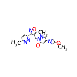 COC1CN(c2cnn(Cc3c(-c4ccc(C)nn4)noc3C)c(=O)c2)C1